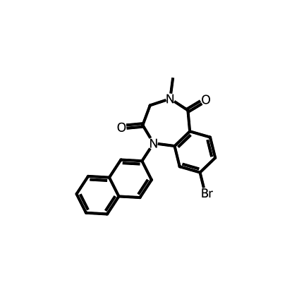 CN1CC(=O)N(c2ccc3ccccc3c2)c2cc(Br)ccc2C1=O